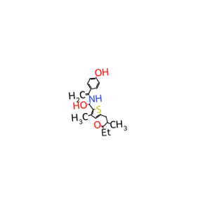 C=C(NC(O)c1sc(CC(C)C(=O)CC)cc1C)c1ccc(O)cc1